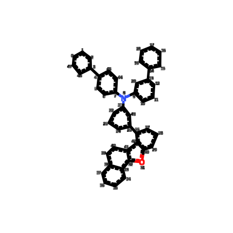 c1ccc(-c2ccc(N(c3cccc(-c4ccccc4)c3)c3cccc(-c4cccc5oc6c7ccccc7ccc6c45)c3)cc2)cc1